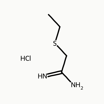 CCSCC(=N)N.Cl